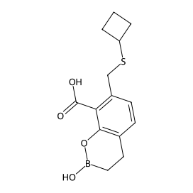 O=C(O)c1c(CSC2CCC2)ccc2c1OB(O)CC2